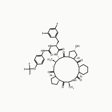 C[C@@H]1NC(=O)[C@@H]2CCCCN2C(=O)[C@@H]2C[C@@H](O)CN2C(=O)[C@@H](NC(=O)[C@H](Cc2cc(F)cc(F)c2)NC(=O)Nc2ccc(OC(F)(F)F)cc2)[C@H](C)OC(=O)[C@@H]2CCCN2C1=O